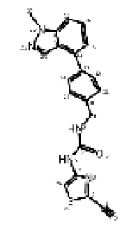 C#Cc1nc(NC(=O)NCc2ccc(-c3cccc4c3cnn4C)cc2)cs1